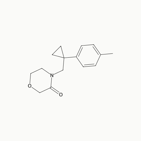 Cc1ccc(C2(CN3CCOCC3=O)CC2)cc1